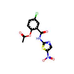 CC(=O)Oc1ccc(Cl)cc1C(=O)Nc1ncc([N+](=O)[O-])s1